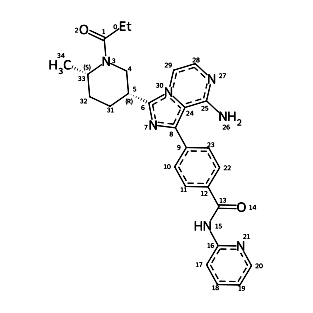 CCC(=O)N1C[C@H](c2nc(-c3ccc(C(=O)Nc4ccccn4)cc3)c3c(N)nccn23)CC[C@@H]1C